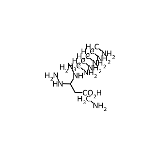 CN.CN.CN.CN.CN.CN.NNC(CC(=O)O)NN